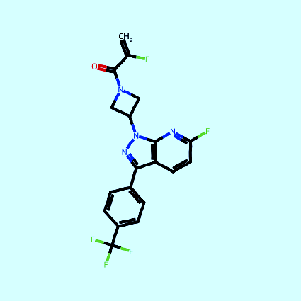 C=C(F)C(=O)N1CC(n2nc(-c3ccc(C(F)(F)F)cc3)c3ccc(F)nc32)C1